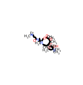 CCN(C)CCCC(=O)N1CC([C@@H]2COC(=O)C(C)(C)C(=O)[C@H](C)[C@@H](O[C@@H]3O[C@H](C)C[C@H](N(C)C)[C@H]3O)[C@](C)(OC)C[C@@H](C)CN2C)C1